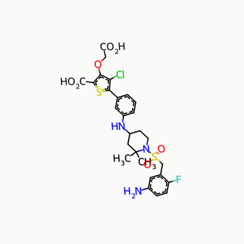 CC1(C)CC(Nc2cccc(-c3sc(C(=O)O)c(OCC(=O)O)c3Cl)c2)CCN1S(=O)(=O)Cc1cc(N)ccc1F